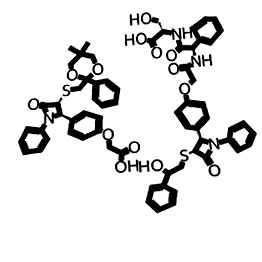 CC1(C)COC(CS[C@H]2C(=O)N(c3ccccc3)[C@@H]2c2ccc(OCC(=O)O)cc2)(c2ccccc2)OC1.O=C(COc1ccc([C@@H]2[C@@H](SCC(O)c3ccccc3)C(=O)N2c2ccccc2)cc1)N[C@@H](C(=O)N[C@@H](CO)C(=O)O)c1ccccc1